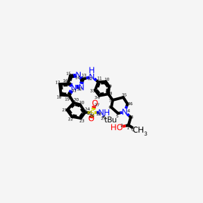 CC(O)CN1CCC(c2ccc(Nc3ncc4ccc(-c5cccc(S(=O)(=O)NC(C)(C)C)c5)n4n3)cc2)CC1